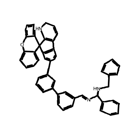 C1=CC2=C(NC1)C1(c3ccccc3Oc3ccccc31)c1cc(-c3cccc(-c4cccc(/C=N/C(NCc5ccccc5)c5ccccc5)c4)c3)ccc12